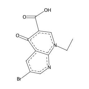 CCn1cc(C(=O)O)c(=O)c2cc(Br)cnc21